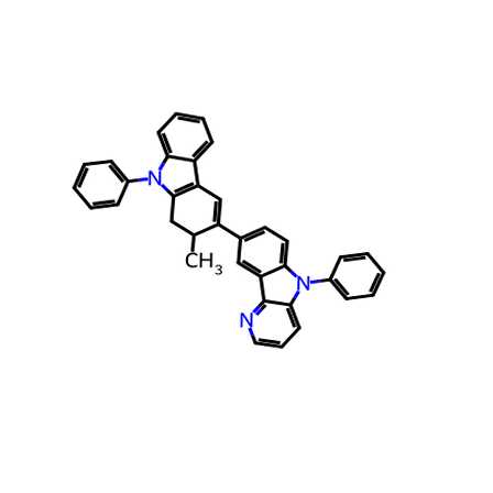 CC1Cc2c(c3ccccc3n2-c2ccccc2)C=C1c1ccc2c(c1)c1ncccc1n2-c1ccccc1